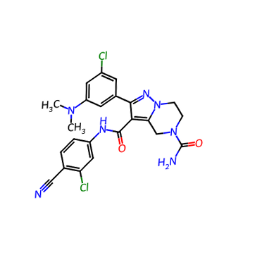 CN(C)c1cc(Cl)cc(-c2nn3c(c2C(=O)Nc2ccc(C#N)c(Cl)c2)CN(C(N)=O)CC3)c1